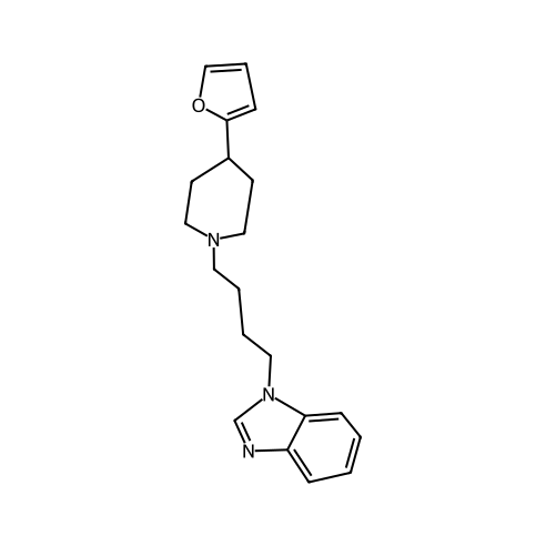 c1coc(C2CCN(CCCCn3cnc4ccccc43)CC2)c1